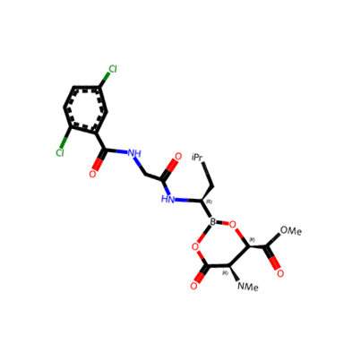 CN[C@H]1C(=O)OB([C@H](CC(C)C)NC(=O)CNC(=O)c2cc(Cl)ccc2Cl)O[C@H]1C(=O)OC